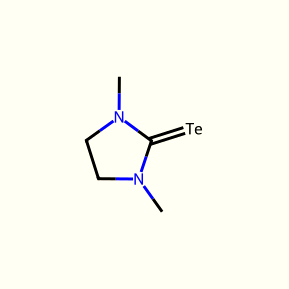 CN1CCN(C)C1=[Te]